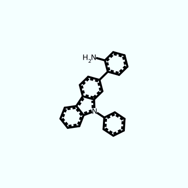 Nc1ccccc1-c1ccc2c3ccccc3n(-c3ccccc3)c2c1